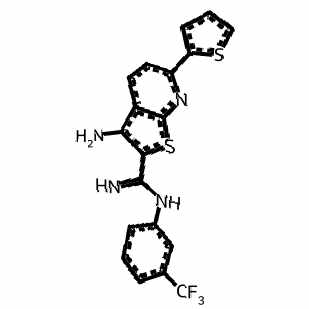 N=C(Nc1cccc(C(F)(F)F)c1)c1sc2nc(-c3cccs3)ccc2c1N